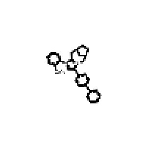 COc1ccccc1-n1cc(-c2ccc(-c3ccccc3)cc2)[n+]2c1CC1CCC(C1)C2